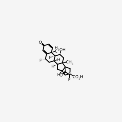 C[C@]12C=CC(=O)C=C1[C@@H](F)C[C@H]1[C@@H]3C[C@H]4CN(C(=O)O)C[C@@]4(C(=O)CF)[C@@]3(C)C[C@H](O)[C@@]12F